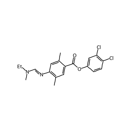 CCN(C)/C=N/c1cc(C)c(C(=O)Oc2ccc(Cl)c(Cl)c2)cc1C